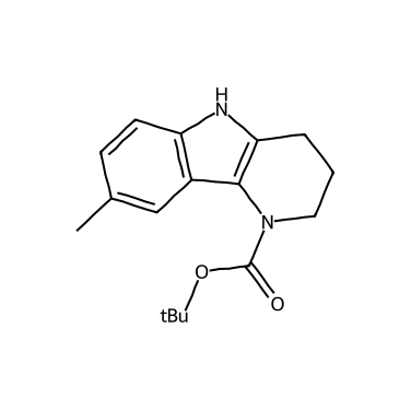 Cc1ccc2[nH]c3c(c2c1)N(C(=O)OC(C)(C)C)CCC3